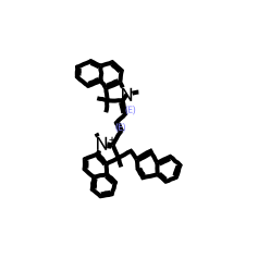 CN1/C(=C/C=C/C2=[N+](C)c3ccc4ccccc4c3C2(C)Cc2ccc3ccccc3c2)C(C)(C)c2c1ccc1ccccc21